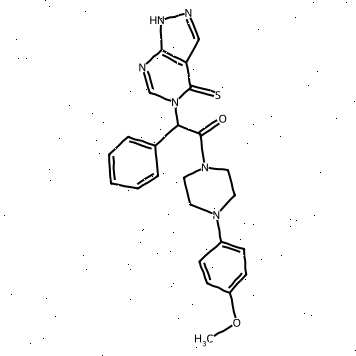 COc1ccc(N2CCN(C(=O)C(c3ccccc3)n3cnc4[nH]ncc4c3=S)CC2)cc1